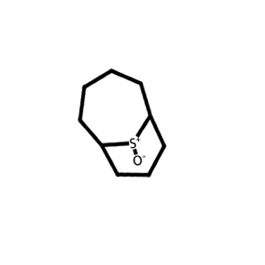 [O-][S+]1C2CCCCC1CCC2